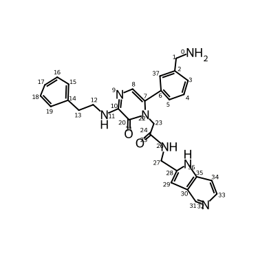 NCc1cccc(-c2cnc(NCCc3ccccc3)c(=O)n2CC(=O)NCc2cc3cnccc3[nH]2)c1